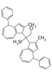 CC1=CC2=C(C=CC=CC2c2ccccc2)C1C([SiH3])(CCl)C1C(C)=CC2=C1C=CC=CC2c1ccccc1